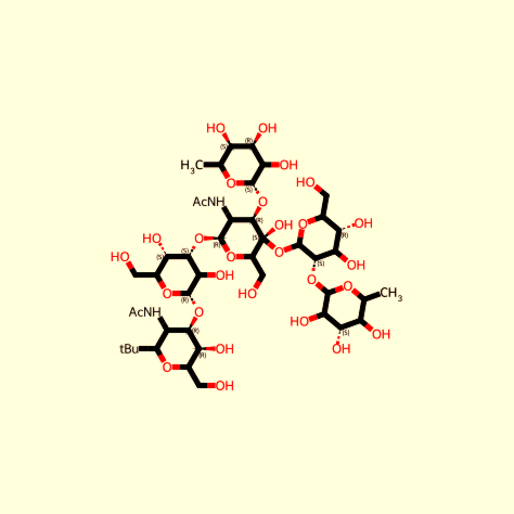 CC(=O)NC1C(C(C)(C)C)OC(CO)[C@H](O)[C@@H]1O[C@@H]1OC(CO)[C@H](O)[C@H](O[C@@H]2OC(CO)[C@@](O)(OC3OC(CO)[C@H](O)C(O)[C@@H]3OC3OC(C)C(O)[C@H](O)C3O)[C@H](O[C@@H]3OC(C)[C@@H](O)[C@@H](O)C3O)C2NC(C)=O)C1O